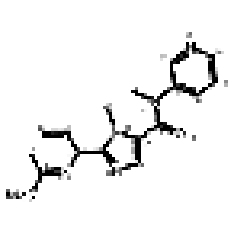 C=CC(/N=C(\C)SC)c1ncc(C(=O)N(C)c2cccnc2)n1C